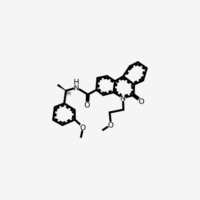 COCCn1c(=O)c2ccccc2c2ccc(C(=O)N[C@H](C)c3cccc(OC)c3)cc21